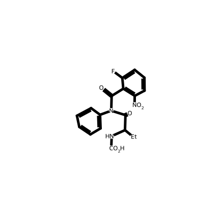 CCC(NC(=O)O)C(=O)N(C(=O)c1c(F)cccc1[N+](=O)[O-])c1ccccc1